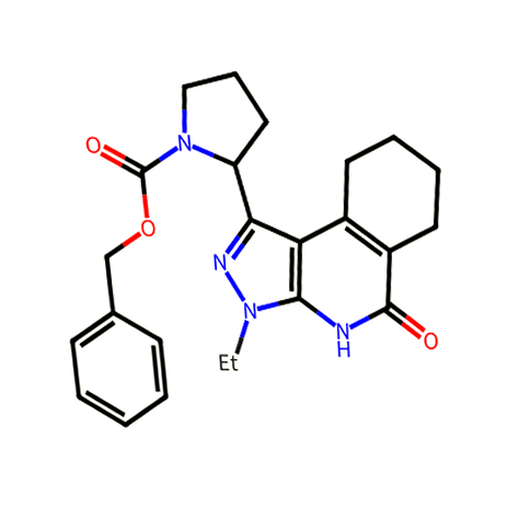 CCn1nc(C2CCCN2C(=O)OCc2ccccc2)c2c3c(c(=O)[nH]c21)CCCC3